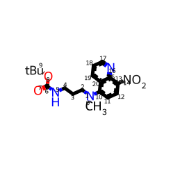 CN(CCCNC(=O)OC(C)(C)C)c1ccc([N+](=O)[O-])c2ncccc12